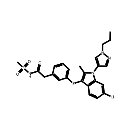 CCCn1cc(-n2c(C)c(Sc3cccc(CC(=O)NS(C)(=O)=O)c3)c3ccc(Cl)cc32)cn1